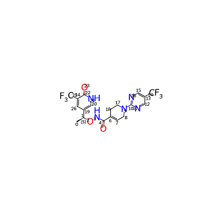 C[C@H](ONC(=O)C1=CCN(c2ncc(C(F)(F)F)cn2)CC1)c1c[nH]c(=O)c(C(F)(F)F)c1